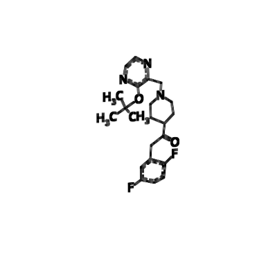 CC(C)(C)Oc1nccnc1CN1CCC(C(=O)Cc2cc(F)ccc2F)CC1